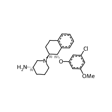 COc1cc(Cl)cc(O[C@H]2c3ccccc3CC[C@@H]2N2CCC[C@H](N)C2)c1